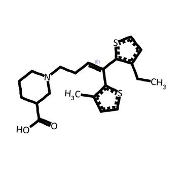 CCc1ccsc1/C(=C/CCN1CCCC(C(=O)O)C1)c1sccc1C